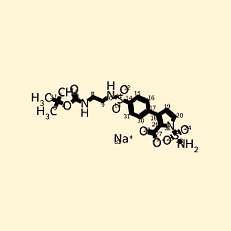 CC(C)(C)OC(=O)NCCNS(=O)(=O)c1ccc(-c2ccn(S(N)(=O)=O)c2C(=O)[O-])cc1.[Na+]